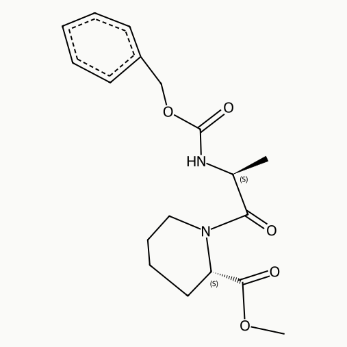 COC(=O)[C@@H]1CCCCN1C(=O)[C@H](C)NC(=O)OCc1ccccc1